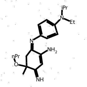 CCCOC1(C)C/C(=N/c2ccc(N(CC)C(C)C)cc2)C(N)=CC1=N